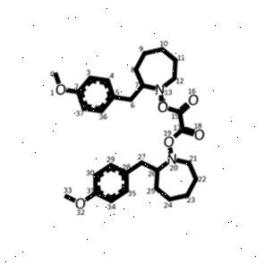 COc1ccc(CC2CCCCCN2OC(=O)C(=O)ON2CCCCCC2Cc2ccc(OC)cc2)cc1